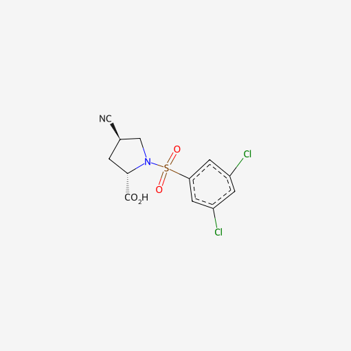 N#C[C@@H]1C[C@@H](C(=O)O)N(S(=O)(=O)c2cc(Cl)cc(Cl)c2)C1